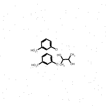 CC(O)C(C)O.O=C(O)c1cccc(Cl)c1.O=C(O)c1cccc(Cl)c1